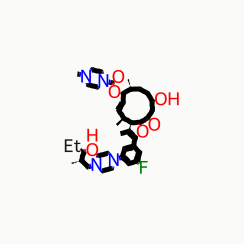 CC[C@@H](O)[C@@H](C)CN1CCN(c2cc(F)cc(/C=C(\C)[C@H]3C(=O)C(=O)C[C@@H](O)CC[C@@H](C)[C@@H](OC(=O)N4CCN(C)CC4)/C=C/[C@@H]3C)c2)CC1